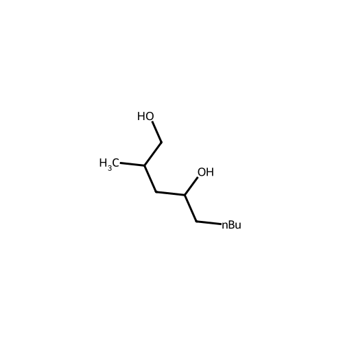 CCCCCC(O)CC(C)CO